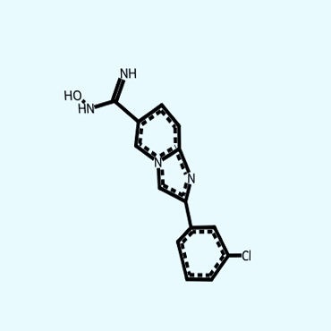 N=C(NO)c1ccc2nc(-c3cccc(Cl)c3)cn2c1